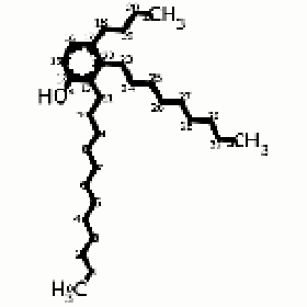 CCCCCCCCCCCCc1c(O)ccc(CCCC)c1CCCCCCCCC